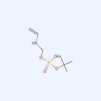 C=CNCOP(=O)(O)OC(C)(C)C